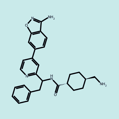 NC[C@H]1CC[C@H](C(=O)NC(Cc2ccccc2)c2cc(-c3ccc4c(N)noc4c3)ccn2)CC1